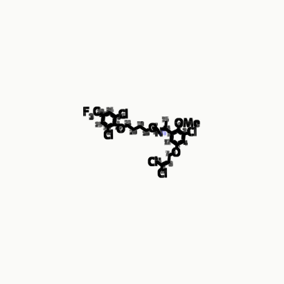 COc1c(Cl)cc(OCC=C(Cl)Cl)cc1/C(C)=N/OCCCCOc1c(Cl)cc(C(F)(F)F)cc1Cl